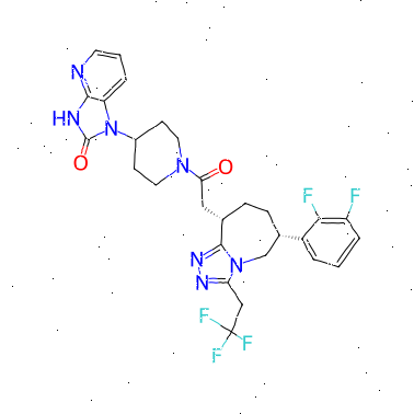 O=C(C[C@@H]1CC[C@H](c2cccc(F)c2F)Cn2c(CC(F)(F)F)nnc21)N1CCC(n2c(=O)[nH]c3ncccc32)CC1